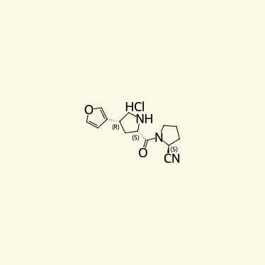 Cl.N#C[C@@H]1CCCN1C(=O)[C@@H]1C[C@H](c2ccoc2)CN1